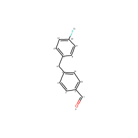 O=Cc1ccc(Cc2ccc(F)cc2)cc1